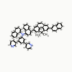 CC1(C)c2cc(-c3ccc4ccccc4c3)cc3ccc4cc(-c5ccc(N(c6cc(-c7cccnc7)cc(-c7cccnc7)c6)c6cccc7ccccc67)c6ccccc56)cc1c4c23